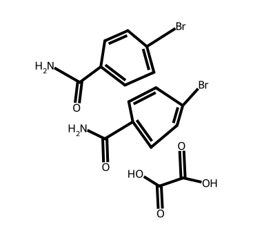 NC(=O)c1ccc(Br)cc1.NC(=O)c1ccc(Br)cc1.O=C(O)C(=O)O